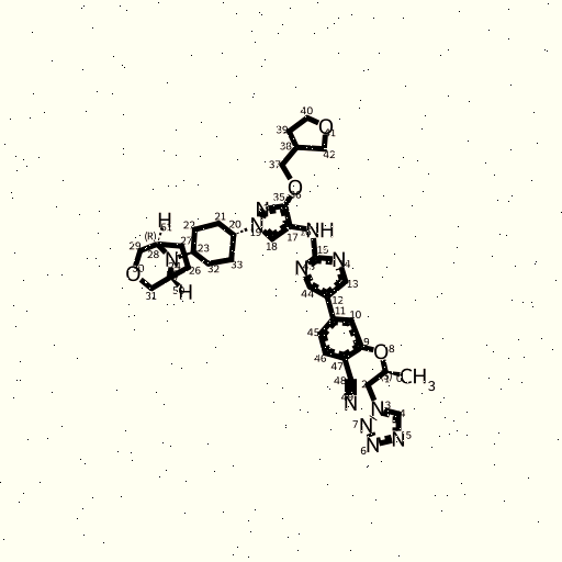 C[C@@H](Cn1cnnn1)Oc1cc(-c2cnc(Nc3cn([C@H]4CC[C@H](N5[C@@H]6CC[C@@H]5COC6)CC4)nc3OCC3CCOC3)nc2)ccc1C#N